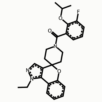 CCn1ncc2c1-c1ccccc1OC21CCN(C(=O)c2cccc(F)c2OC(C)C)CC1